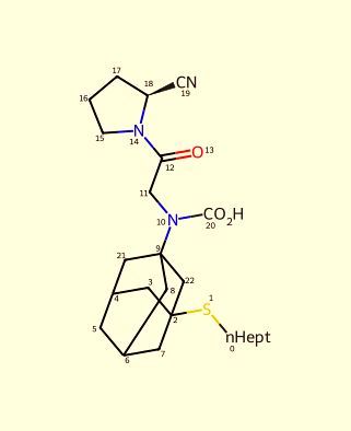 CCCCCCCSC12CC3CC(C1)CC(N(CC(=O)N1CCC[C@H]1C#N)C(=O)O)(C3)C2